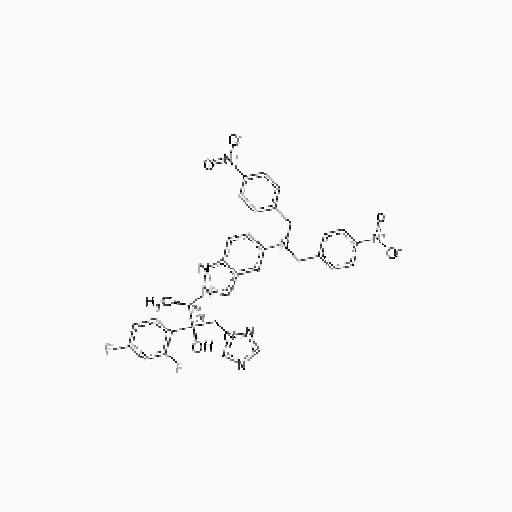 C[C@@H](n1cc2cc(N(Cc3ccc([N+](=O)[O-])cc3)Cc3ccc([N+](=O)[O-])cc3)ccc2n1)[C@](O)(Cn1cncn1)c1ccc(F)cc1F